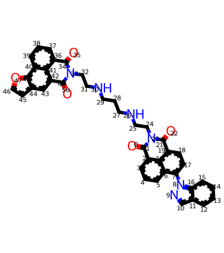 O=C1c2cccc3c(-n4ncc5ccccc54)ccc(c23)C(=O)N1CCNCCCNCCN1C(=O)c2cccc3c2c(cc2ccoc23)C1=O